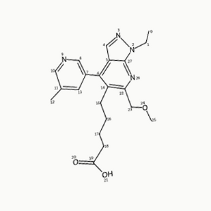 CCn1ncc2c(-c3cncc(C)c3)c(CCCCC(=O)O)c(COC)nc21